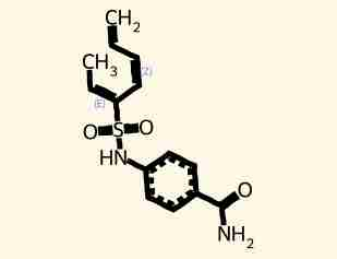 C=C/C=C\C(=C/C)S(=O)(=O)Nc1ccc(C(N)=O)cc1